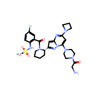 CS(=O)(=O)Nc1ccc(Cl)cc1C(=O)N1CCCC[C@H]1c1cc2nc(N3CCC3)cc(N3CCN(C(=O)CN)CC3)n2n1